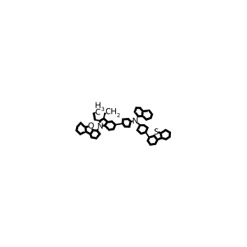 C=Cc1c(/C=C\C)n(-c2cccc3c2oc2ccccc23)c2ccc(-c3ccc(N(c4ccc(-c5cccc6c5sc5ccccc56)cc4)c4cccc5ccccc45)cc3)cc12